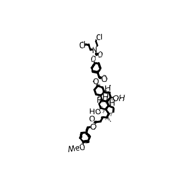 COc1ccc(COC(=O)CC[C@@H](C)[C@H]2CC[C@H]3[C@@H]4[C@H](O)C[C@@H]5C[C@H](OC(=O)c6ccc(OC(=O)N(CCCl)CCCl)cc6)CC[C@]5(C)[C@H]4C[C@H](O)[C@]23C)cc1